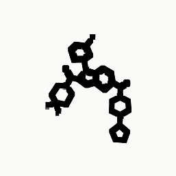 O=C(c1ccc2c(c1)cc(C(=O)N1CCC(F)(F)CC1)n2-c1cccc(F)c1)N1CCN(C2CCCC2)CC1